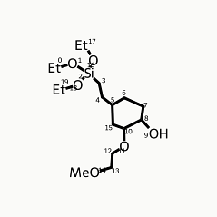 CCO[Si](CCC1CCC(O)C(OCCOC)C1)(OCC)OCC